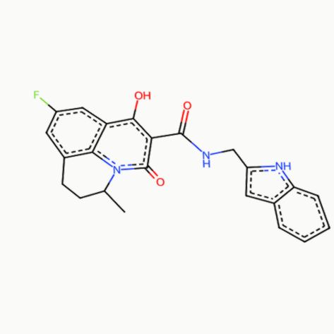 CC1CCc2cc(F)cc3c(O)c(C(=O)NCc4cc5ccccc5[nH]4)c(=O)n1c23